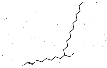 [CH2]C=CCCCCCCC(CC)CCCCCCCCCCC[CH2]